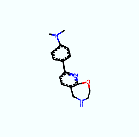 CN(C)c1ccc(-c2ccc3c(n2)OCCNC3)cc1